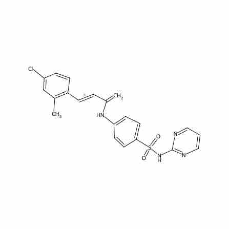 C=C(/C=C/c1ccc(Cl)cc1C)Nc1ccc(S(=O)(=O)Nc2ncccn2)cc1